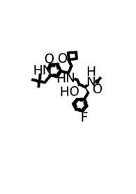 CC(=O)N[C@@H](Cc1cccc(F)c1)[C@H](O)CN[C@H]1CC2(CCC2)Oc2c1cc(CC(C)(C)C)[nH]c2=O